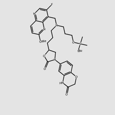 COc1ccc2ncc(F)c(CN(CCCO[Si](C)(C)C(C)(C)C)CCCC3CN(c4ccc5c(c4)NC(=O)CO5)C(=O)O3)c2n1